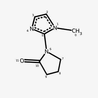 Cn1ccnc1N1CCCC1=O